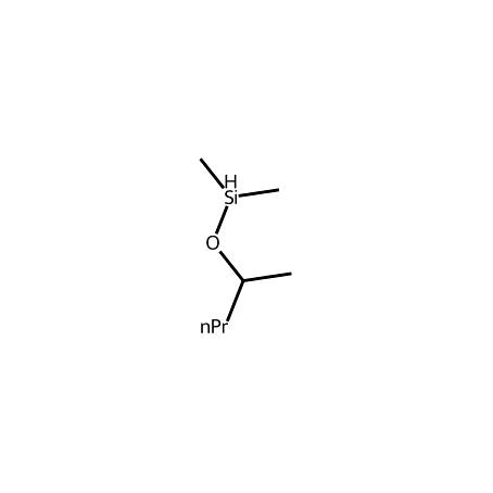 CCCC(C)O[SiH](C)C